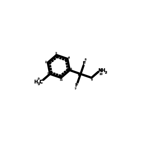 Cc1cccc(C(F)(F)CN)c1